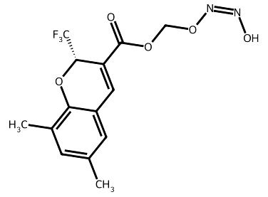 Cc1cc(C)c2c(c1)C=C(C(=O)OCO/N=N\O)[C@@H](C(F)(F)F)O2